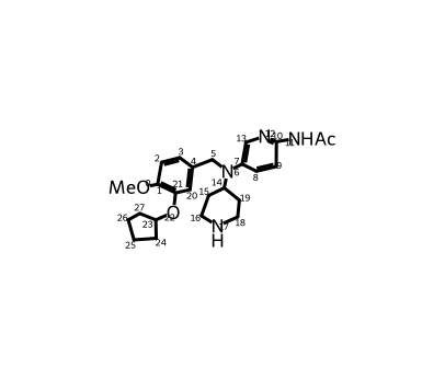 COc1ccc(CN(c2ccc(NC(C)=O)nc2)C2CCNCC2)cc1OC1CCCC1